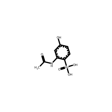 CC(=O)Nc1[c]c(O)ccc1[As](=O)(O)O